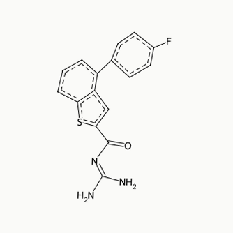 NC(N)=NC(=O)c1cc2c(-c3ccc(F)cc3)cccc2s1